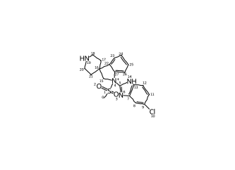 CS(=O)(=O)[N+]1(c2nc3cc(Cl)ccc3[nH]2)CC2(CCNCC2)c2ccccc21